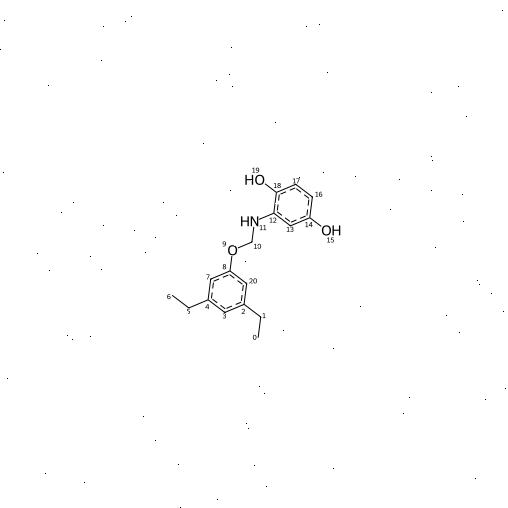 CCc1cc(CC)cc(OCNc2cc(O)ccc2O)c1